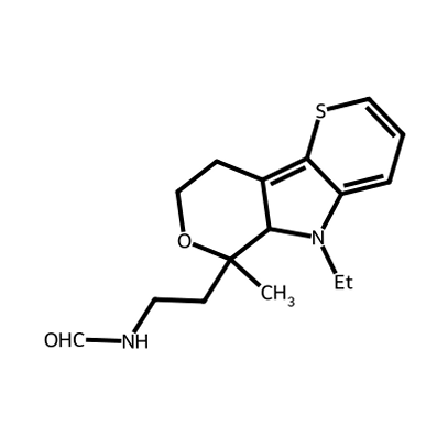 CCN1C2=CC=CSC2=C2CCOC(C)(CCNC=O)C21